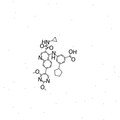 COc1ncc(-c2ccc3c(Nc4cc(C(=O)O)cc(C5CCCC5)c4)c(S(=O)(=O)NC4CC4)cnc3c2)c(OC)n1